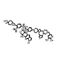 COc1cc(CN2CCN(C3CC4(CCN(c5ccc(C(=O)NS(=O)(=O)c6ccc(NCC7CCC(C)(O)CC7)c([N+](=O)[O-])c6)c(N6c7cc8cc[nH]c8nc7O[C@H]7COCC[C@@H]76)c5)CC4)C3)[C@H](c3cscc3C)C2)cnc1OC